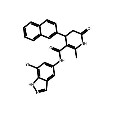 CC1=C(C(=O)Nc2cc(Cl)c3[nH]ncc3c2)C(c2ccc3ccccc3c2)CC(=O)N1